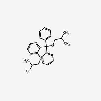 CC(C)COc1ccccc1C(OCC(C)C)(c1ccccc1)c1ccccc1